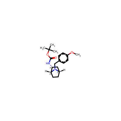 COc1ccc(CN2[C@H]3CC[C@@H]2[C@H](NC(=O)OC(C)(C)C)C3)cc1